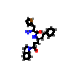 N[C@@H](Cc1cccs1)C(=O)N[C@H](C=CC(=O)N1CCc2ccccc21)CCc1ccccc1